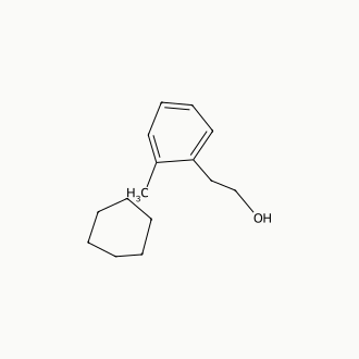 C1CCCCC1.Cc1ccccc1CCO